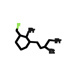 CCC(CCC1CCCC(CF)C1C(C)C)CC(C)C